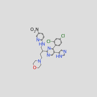 O=[N+]([O-])c1ccc(NC[C](CCN2CCOCC2)c2ncc(-c3cnc[nH]3)c(-c3ccc(Cl)cc3Cl)n2)nc1